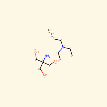 CCN(CC)CC.NC(CO)(CO)CO.[F-].[H+]